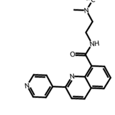 CN([11CH3])CCNC(=O)c1cccc2ccc(-c3ccncc3)nc12